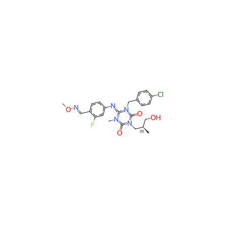 CON=Cc1ccc(N=c2n(C)c(=O)n(C[C@H](C)CO)c(=O)n2Cc2ccc(Cl)cc2)cc1F